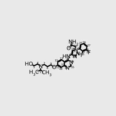 CC(C)N(CCO)CCCOc1ccc2c(NC3=C[N+](CC(N)=O)(c4cccc(F)c4F)N=N3)ncnc2c1